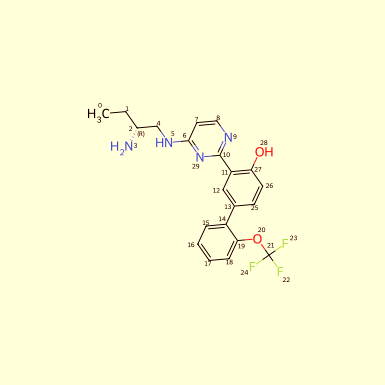 CC[C@@H](N)CNc1ccnc(-c2cc(-c3ccccc3OC(F)(F)F)ccc2O)n1